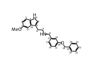 COc1ccc2[nH]cc(CCNCc3cccc(OCc4ccccc4)c3)c2c1